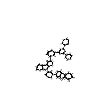 c1ccc(-c2cc(-c3cccc(-c4ccc5c(c4)c4ccccc4n5-c4cccc(-c5ccc6c(c5)oc5ccccc56)c4)c3)cc(-c3ccccc3)n2)cc1